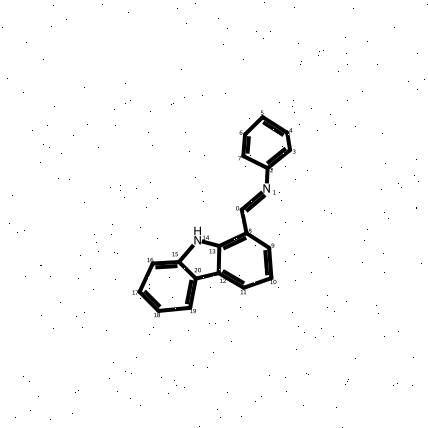 C(=Nc1ccccc1)c1cccc2c1[nH]c1ccccc12